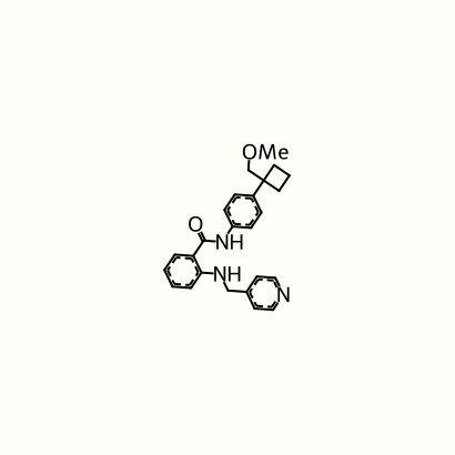 COCC1(c2ccc(NC(=O)c3ccccc3NCc3ccncc3)cc2)CCC1